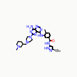 Cc1ccc(C(=O)Nc2cc(C(C)(C)C)n[nH]2)cc1Nc1ncnc2c(N)nc(N3CCN(CC4CCCN(C)C4)CC3)nc12